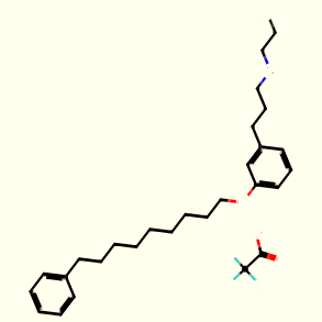 O=C(O)C(F)(F)F.O=C(O)CCNCCCc1cccc(OCCCCCCCCCc2ccccc2)c1